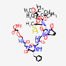 COC(C)(C)CCOC(C)(S)CN(C[C@@H](C(=O)NCC(=O)NCC(=O)N[C@H](Cc1ccccc1)C(=O)NCC(=O)NCOCC(=O)O)N1C(=O)C=CC1=O)C(=O)OC(C)(C)C